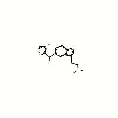 CN(C)CCc1c[nH]c2ccc(C(N)c3nncn3C)cc12